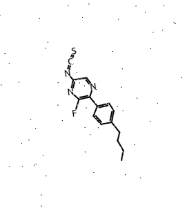 CCCCc1ccc(-c2ncc(N=C=S)nc2F)cc1